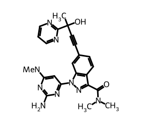 CNc1cc(-n2nc(C(=O)N(C)C)c3ccc(C#CC(C)(O)c4ncccn4)cc32)nc(N)n1